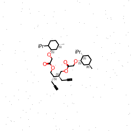 C#CC[C@H](COC(=O)CO[C@H]1C[C@@H](C)CCC1C(C)C)[C@H](CC#C)COC(=O)CO[C@H]1C[C@H](C)CC[C@H]1C(C)C